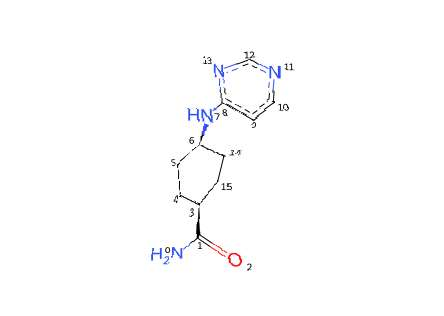 NC(=O)[C@H]1CC[C@@H](Nc2ccncn2)CC1